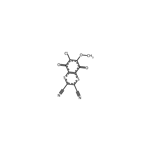 COc1c(Cl)c(=O)c2sc(C#N)c(C#N)sc=2c1=O